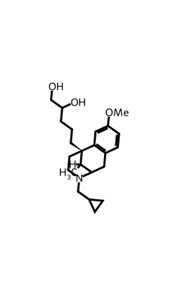 COc1ccc2c(c1)[C@@]1(CCCC(O)CO)CCN(CC3CC3)C(C2)[C@@H]1C